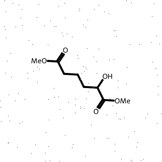 COC(=O)CCCC(O)C(=O)OC